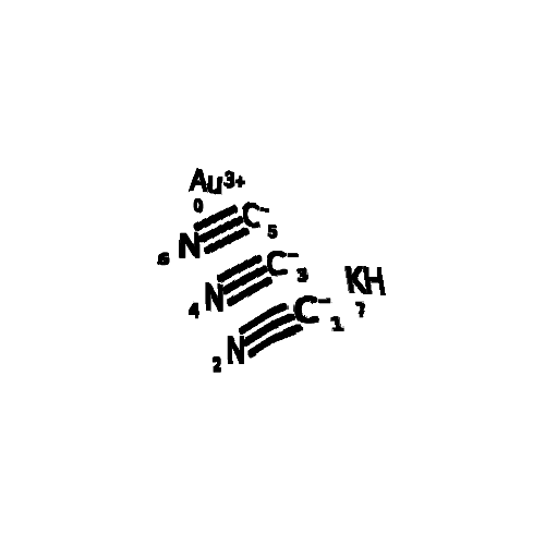 [Au+3].[C-]#N.[C-]#N.[C-]#N.[KH]